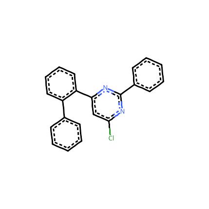 Clc1cc(-c2ccccc2-c2ccccc2)nc(-c2ccccc2)n1